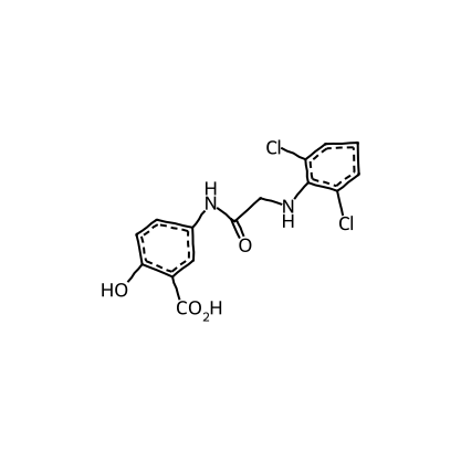 O=C(CNc1c(Cl)cccc1Cl)Nc1ccc(O)c(C(=O)O)c1